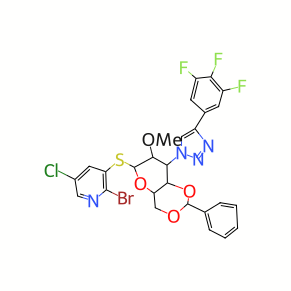 COC1C(Sc2cc(Cl)cnc2Br)OC2COC(c3ccccc3)OC2C1n1cc(-c2cc(F)c(F)c(F)c2)nn1